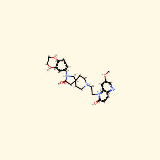 COc1cnc2ccc(=O)n(CCN3CCC4(CC3)CC(=O)N(c3ccc5c(c3)OCCO5)C4)c2c1